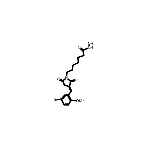 COc1ccc(Br)cc1C=C1CC(=O)N(CCCCCCC(=O)NO)C1=O